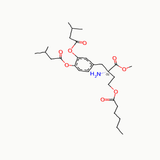 CCCCCC(=O)OCC[C@@](N)(Cc1ccc(OC(=O)CC(C)C)c(OC(=O)CC(C)C)c1)C(=O)OC